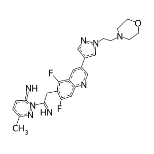 Cc1ccc(=N)n(C(=N)Cc2c(F)cc3ncc(-c4cnn(CCN5CCOCC5)c4)cc3c2F)n1